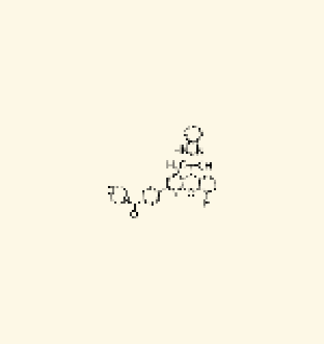 CC(C)(c1nc2ccccc2[nH]1)[C@@H]1c2ccc(-c3ccc(C(=O)N4CCOCC4)cc3)nc2Oc2c(F)cccc21